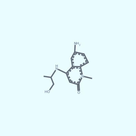 CC(CO)Nc1cc(=O)n(C)c2ccc(N)cc12